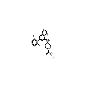 Cc1cccc(F)c1-c1cc(NC2CCN(C(=O)OC(C)(C)C)CC2)c2ncncc2c1